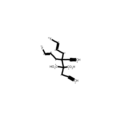 C#CCC(C(=O)O)(C(=O)O)C(C#C)(CC=CF)CC=CF